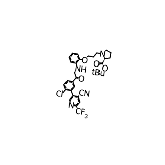 CC(C)(C)OC(=O)[C@@H]1CCCN1CCCOc1ccccc1NCC(=O)c1ccc(Cl)c(-c2cnc(C(F)(F)F)cc2C#N)c1